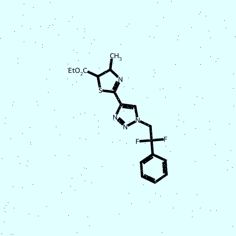 CCOC(=O)C1SC(c2cn(CC(F)(F)c3ccccc3)nn2)=NC1C